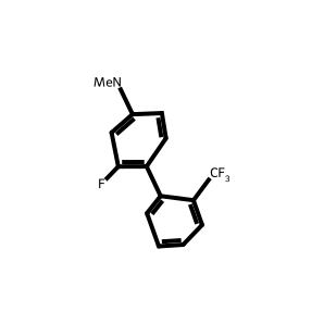 CNc1ccc(-c2ccccc2C(F)(F)F)c(F)c1